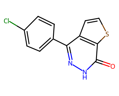 O=c1[nH]nc(-c2ccc(Cl)cc2)c2ccsc12